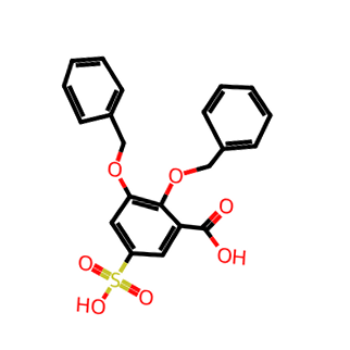 O=C(O)c1cc(S(=O)(=O)O)cc(OCc2ccccc2)c1OCc1ccccc1